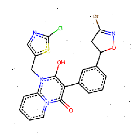 O=c1c(-c2cccc(C3CC(Br)=NO3)c2)c(O)n(Cc2cnc(Cl)s2)c2cccc[n+]12